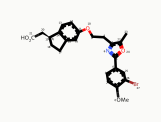 COc1ccc(-c2nc(CCOc3ccc4c(c3)CC[C@H]4CC(=O)O)c(C)o2)cc1Br